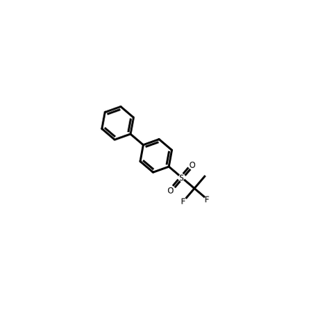 CC(F)(F)S(=O)(=O)c1ccc(-c2ccccc2)cc1